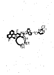 C#Cc1c(F)ccc2cccc(-c3nc4c5c(nc(OC[C@@]67CCCN6[C@H](COc6ccnc(C(F)(F)F)n6)CC7)nc5c3F)NC[C@@H](CC)N[C@@H](C)CCCC4)c12